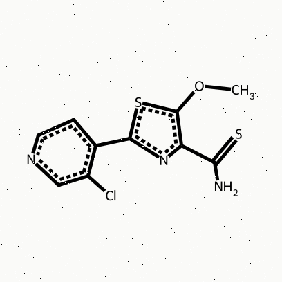 COc1sc(-c2ccncc2Cl)nc1C(N)=S